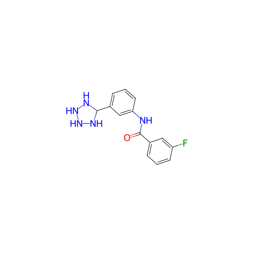 O=C(Nc1cccc(C2NNNN2)c1)c1cccc(F)c1